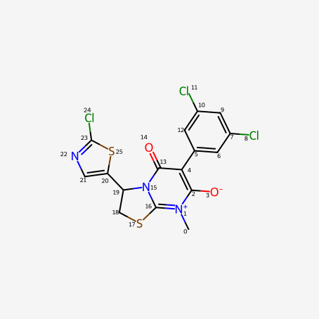 C[n+]1c([O-])c(-c2cc(Cl)cc(Cl)c2)c(=O)n2c1SCC2c1cnc(Cl)s1